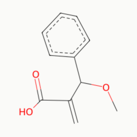 C=C(C(=O)O)C(OC)c1ccccc1